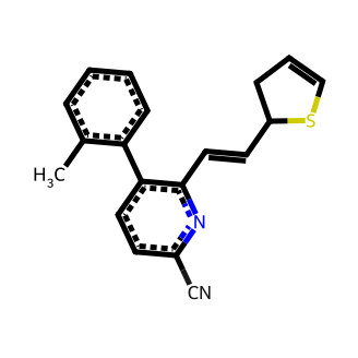 Cc1ccccc1-c1ccc(C#N)nc1C=CC1CC=CS1